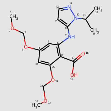 COCOc1cc(Nc2ccnn2C(C)C)c(C(=O)O)c(OCOC)c1